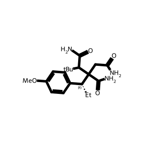 CC[C@H](c1ccc(OC)cc1)C(CC(N)=O)(C(N)=O)C(C(N)=O)C(C)(C)C